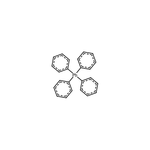 c1cc[c]([Pb]([c]2ccccc2)([c]2ccccc2)[c]2ccccc2)cc1